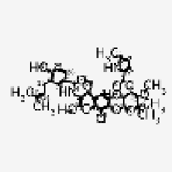 CO[C@@H]1[C@@H](OC(=O)c2ccc(C)[nH]2)[C@@H](O)[C@H](Oc2ccc3c(=O)c(NC(=O)c4ccc(O)c(CC=C(C)C)c4)c(O)oc3c2Cl)OC1(C)C